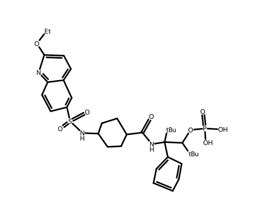 CCOc1ccc2cc(S(=O)(=O)NC3CCC(C(=O)NC(c4ccccc4)(C(OP(=O)(O)O)C(C)(C)C)C(C)(C)C)CC3)ccc2n1